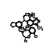 CCOC(=O)CC(c1cc2c(c(CN3C[C@@H](CC)Oc4c(Cl)cccc4S3(O)O)c1)CCC2)c1ccc2c(nnn2C)c1C